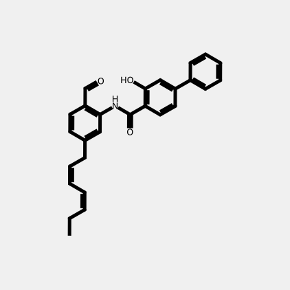 CC/C=C\C=C/Cc1ccc(C=O)c(NC(=O)c2ccc(-c3ccccc3)cc2O)c1